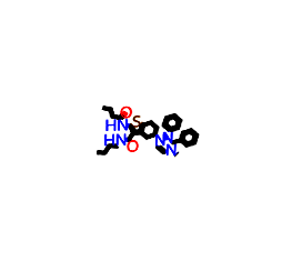 C=N/C=C\N(C1CCc2sc(NC(=O)CCC)c(C(=O)NCCCC)c2C1)N(Cc1ccccc1)c1ccccc1